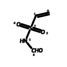 C=CS(=O)(=O)NC=O